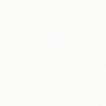 N=Nc1ccc(C(O)(C(F)(F)F)C(F)(F)F)cc1